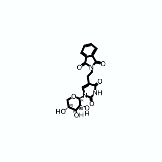 O=C1c2ccccc2C(=O)N1CCc1cn([C@@H]2OC[C@@H](O)[C@@H](O)[C@H]2O)c(=O)[nH]c1=O